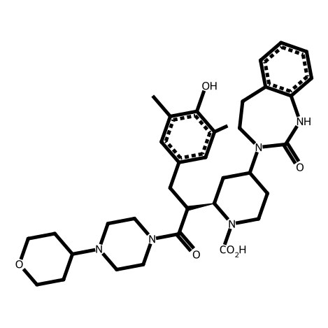 Cc1cc(CC(C(=O)N2CCN(C3CCOCC3)CC2)[C@H]2CC(N3CCc4ccccc4NC3=O)CCN2C(=O)O)cc(C)c1O